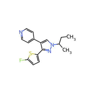 CCC(C)n1cc(-c2ccncc2)c(-c2ccc(F)s2)n1